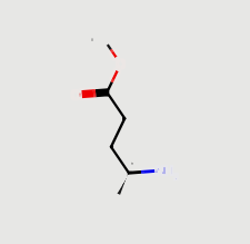 CCCCOC(=O)CC[C@@H](N)C(=O)O